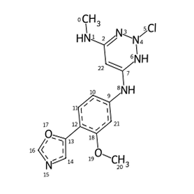 CNC1=NN(Cl)NC(Nc2ccc(-c3cnco3)c(OC)c2)=C1